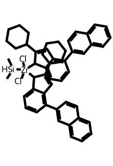 C[SiH](C)[Zr]([Cl])([Cl])([CH]1C(C2CCCCC2)=Cc2c(-c3ccc4ccccc4c3)cccc21)[CH]1C(C2CCCCC2)=Cc2c(-c3ccc4ccccc4c3)cccc21